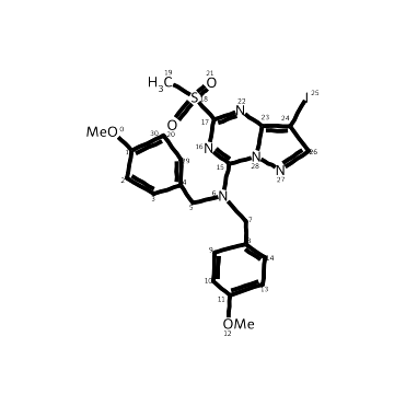 COc1ccc(CN(Cc2ccc(OC)cc2)c2nc(S(C)(=O)=O)nc3c(I)cnn23)cc1